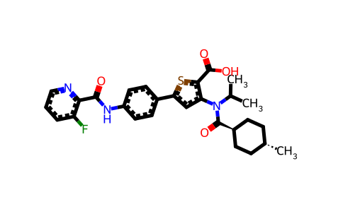 CC(C)N(c1cc(-c2ccc(NC(=O)c3ncccc3F)cc2)sc1C(=O)O)C(=O)[C@H]1CC[C@H](C)CC1